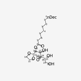 CCCCCCCCCCCCCCCCCC(=O)O[C@@H](C1OCCO1)[C@@H](O)[C@H](O)[C@H](O)CO